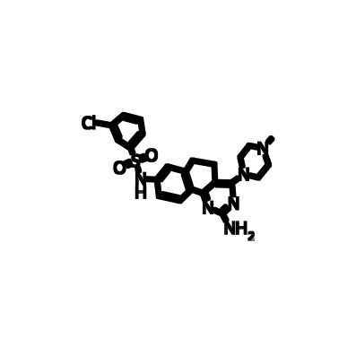 CN1CCN(c2nc(N)nc3c2CCc2cc(NS(=O)(=O)c4cccc(Cl)c4)ccc2-3)CC1